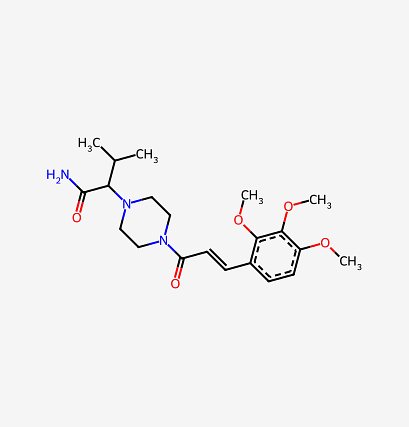 COc1ccc(/C=C/C(=O)N2CCN(C(C(N)=O)C(C)C)CC2)c(OC)c1OC